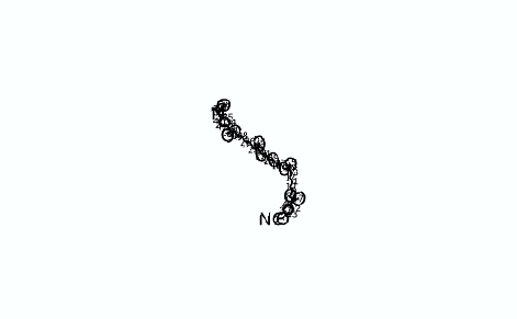 N#COc1ccc(C(=O)OCCCCCC(=O)OCCOCCOC(=O)CCCCCOC(=O)c2ccc(N=C=O)cc2)cc1